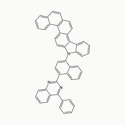 c1ccc(-c2nc(-c3ccc(-n4c5ccccc5c5c6ccc7ccc8ccccc8c7c6ccc54)c4ccccc34)nc3ccccc23)cc1